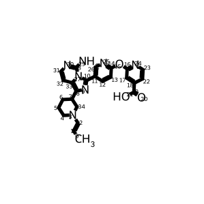 CC=CN1CCCC(c2nc(-c3ccc(Oc4cc(C(=O)O)ccn4)nc3)n3c(N)nccc23)C1